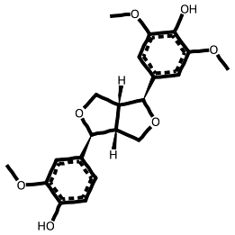 COc1cc([C@H]2OC[C@H]3[C@@H]2CO[C@@H]3c2cc(OC)c(O)c(OC)c2)ccc1O